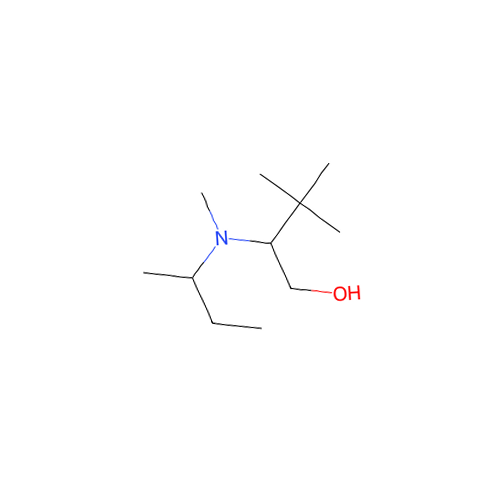 CCC(C)N(C)C(CO)C(C)(C)C